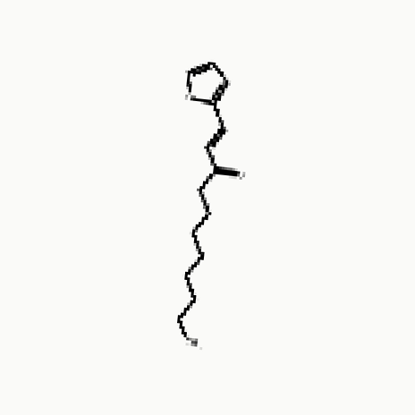 CCCCCCCCC(=O)C=Cc1ccco1